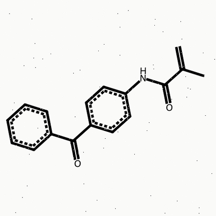 C=C(C)C(=O)Nc1ccc(C(=O)c2ccccc2)cc1